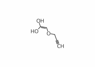 C#CCOC=C(O)O